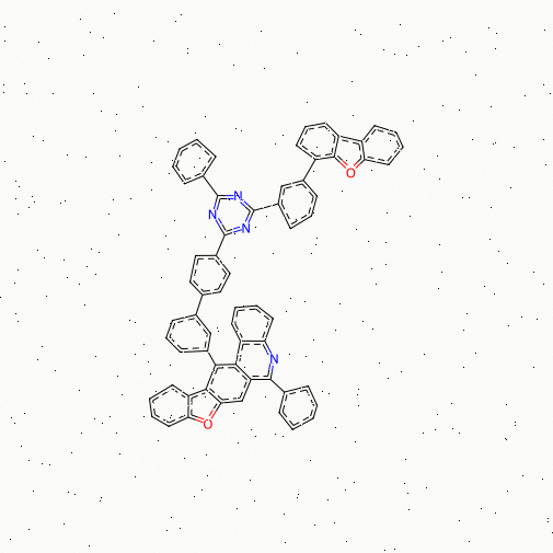 c1ccc(-c2nc(-c3ccc(-c4cccc(-c5c6c(cc7c(-c8ccccc8)nc8ccccc8c57)oc5ccccc56)c4)cc3)nc(-c3cccc(-c4cccc5c4oc4ccccc45)c3)n2)cc1